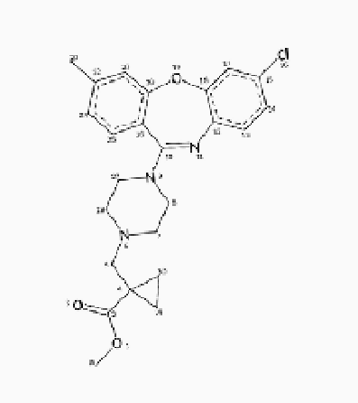 COC(=O)C1(CN2CCN(C3=Nc4ccc(Cl)cc4Oc4cc(C)ccc43)CC2)CC1